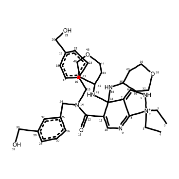 CC[N+]1(CC)NC=C2C1=NC=C(C(=O)N(Cc1ccc(CO)cc1)Cc1cccc(CO)c1)C2(NC1CCOCC1)NC1CCOCC1